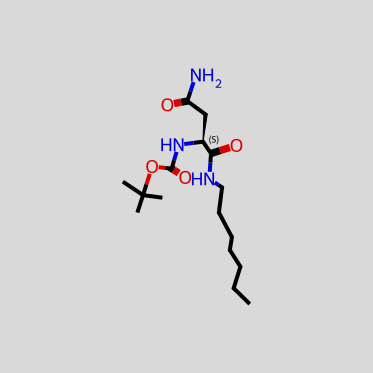 CCCCCCCNC(=O)[C@H](CC(N)=O)NC(=O)OC(C)(C)C